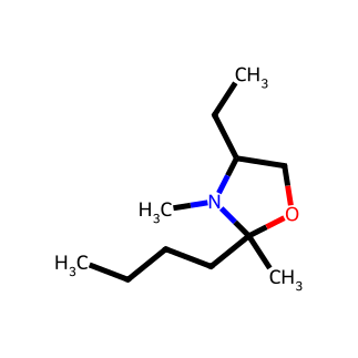 CCCCC1(C)OCC(CC)N1C